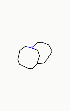 C1CCCN2CCCCCCC(CC1)CC2